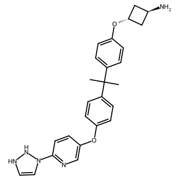 CC(C)(c1ccc(Oc2ccc(N3C=CNN3)nc2)cc1)c1ccc(O[C@H]2C[C@H](N)C2)cc1